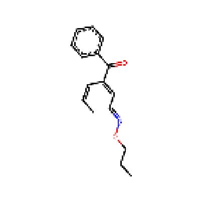 C\C=C/C(=C\C=N\OCCC)C(=O)c1ccccc1